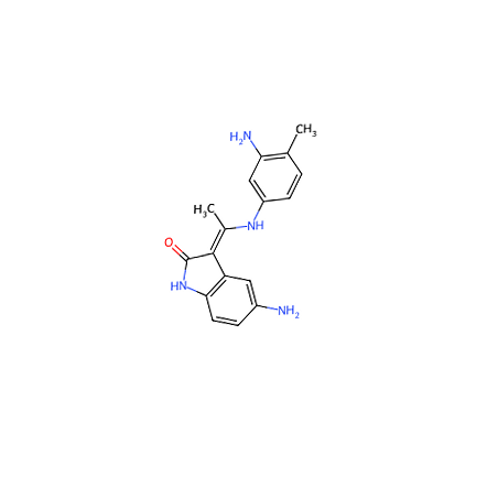 CC(Nc1ccc(C)c(N)c1)=C1C(=O)Nc2ccc(N)cc21